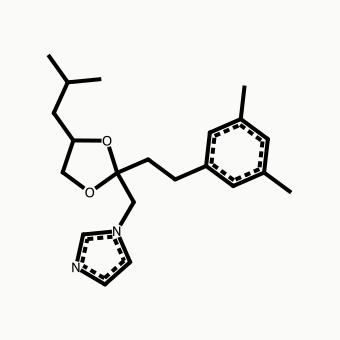 Cc1cc(C)cc(CCC2(Cn3ccnc3)OCC(CC(C)C)O2)c1